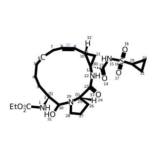 CCOC(=O)N[C@H]1CCCCC/C=C\[C@@H]2C[C@@]2(C(=O)NS(=O)(=O)C2CC2)NC(=O)[C@@H]2CCCN2C1O